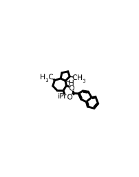 CC(C)C1CCC(C)C2CC[C@@H](C)[C@H]2C1OC(=O)c1ccc2ccccc2c1